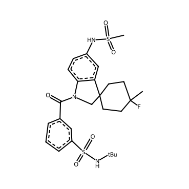 CC1(F)CCC2(CC1)CN(C(=O)c1cccc(S(=O)(=O)NC(C)(C)C)c1)c1ccc(NS(C)(=O)=O)cc12